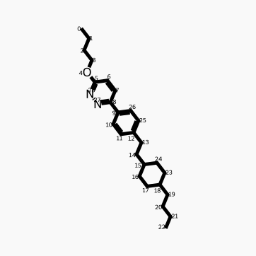 CCCCOc1ccc(-c2ccc(CCC3CCC(CCCC)CC3)cc2)nn1